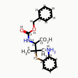 CC(C)(Sc1ccccc1N)C(NC(=O)OCc1ccccc1)C(=O)O